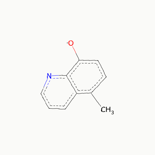 Cc1ccc([O])c2ncccc12